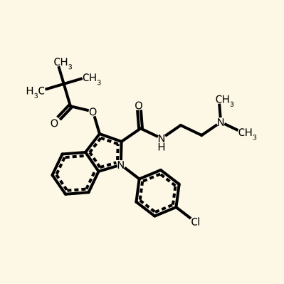 CN(C)CCNC(=O)c1c(OC(=O)C(C)(C)C)c2ccccc2n1-c1ccc(Cl)cc1